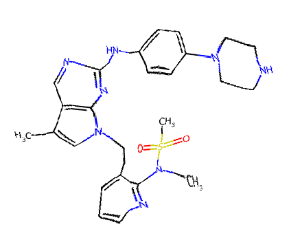 Cc1cn(Cc2cccnc2N(C)S(C)(=O)=O)c2nc(Nc3ccc(N4CCNCC4)cc3)ncc12